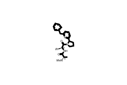 CN[C@@H](C)C(=O)N[C@H](C(=O)N1CCCC1c1cccc(Cc2ccccc2)n1)C(C)C